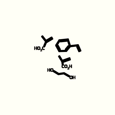 C=C(C)C(=O)O.C=C(C)C(=O)O.C=Cc1ccccc1.OCCO